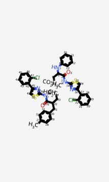 CN(C(=O)C(CC(=O)O)Nc1ccccc1)c1nc(-c2ccccc2Cl)cs1.Cc1ccc(CC(CC(=O)O)C(=O)N(C)c2nc(-c3ccccc3Cl)cs2)cc1